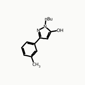 CCCCn1nc(-c2cccc(C)c2)cc1O